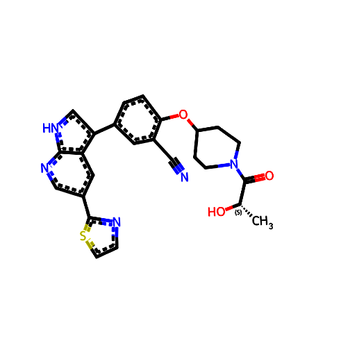 C[C@H](O)C(=O)N1CCC(Oc2ccc(-c3c[nH]c4ncc(-c5nccs5)cc34)cc2C#N)CC1